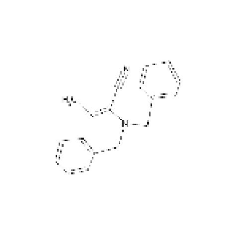 CC=C(C#N)N(Cc1ccccc1)Cc1ccccc1